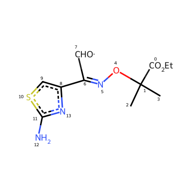 CCOC(=O)C(C)(C)O/N=C(\[C]=O)c1csc(N)n1